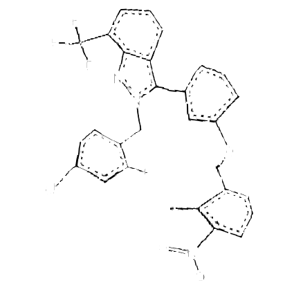 Cc1c(COc2cccc(-c3c4cccc(C(F)(F)F)c4nn3Cc3ccc(Cl)cc3F)c2)cccc1[N+](=O)[O-]